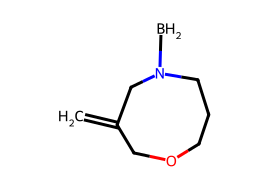 BN1CCCOCC(=C)C1